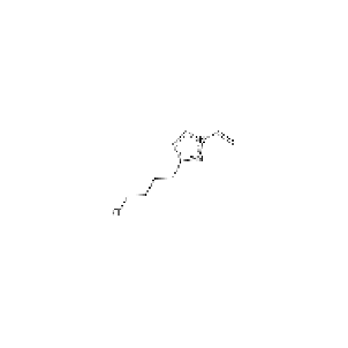 C=Cn1ccc(CCCCCl)n1